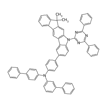 CC1(C)c2ccccc2-c2cc3c4cc(-c5ccc(N(c6ccc(-c7ccccc7)cc6)c6cccc(-c7ccccc7)c6)cc5)ccc4n(-c4nc(-c5ccccc5)nc(-c5ccccc5)n4)c3cc21